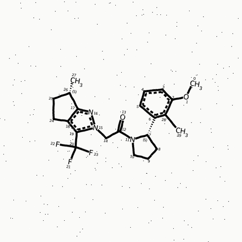 COc1cccc([C@@H]2CCCN2C(=O)Cn2nc3c(c2C(F)(F)F)CC[C@@H]3C)c1C